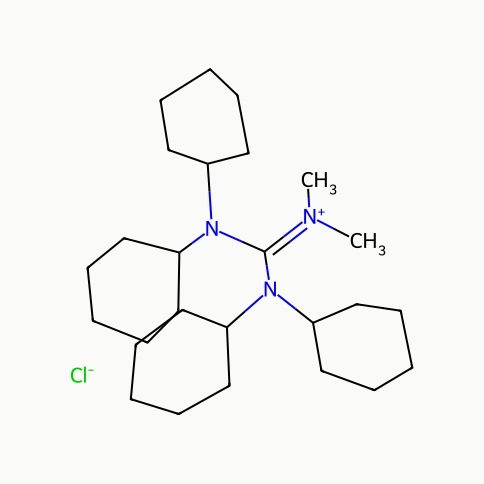 C[N+](C)=C(N(C1CCCCC1)C1CCCCC1)N(C1CCCCC1)C1CCCCC1.[Cl-]